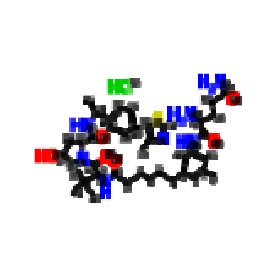 Cc1cc(CCCCCC(=O)N[C@H](C(=O)N2C[C@H](O)C[C@H]2C(=O)N[C@@H](C)c2ccc(-c3scnc3C)cc2)C(C)(C)C)cc(NC(=O)[C@@H](N)CCC(N)=O)c1.Cl